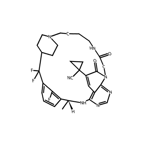 C[C@H]1Nc2ncnc3c2cc(C2(C#N)CC2)c(=O)n3CC(=O)NCCCCN2CCC(CC2)C(F)(F)c2cccc1c2F